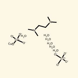 CN(C)CCN(C)C.O.O.O.O.O.O.[Cu+2].[O-][Cl+3]([O-])([O-])[O-].[O-][Cl+3]([O-])([O-])[O-]